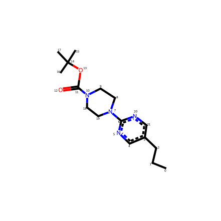 CCCc1cnc(N2CCN(C(=O)OC(C)(C)C)CC2)nc1